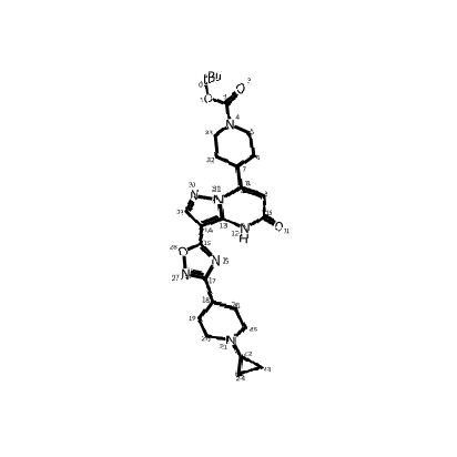 CC(C)(C)OC(=O)N1CCC(c2cc(=O)[nH]c3c(-c4nc(C5CCN(C6CC6)CC5)no4)cnn23)CC1